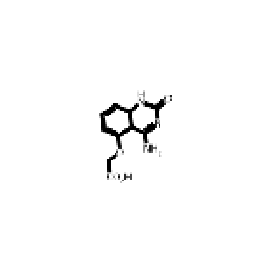 NC1=NC(=O)NC2C=CC=C(OCC(=O)O)C12